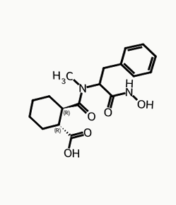 CN(C(=O)[C@@H]1CCCC[C@H]1C(=O)O)C(Cc1ccccc1)C(=O)NO